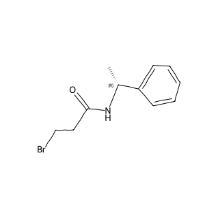 C[C@@H](NC(=O)CCBr)c1ccccc1